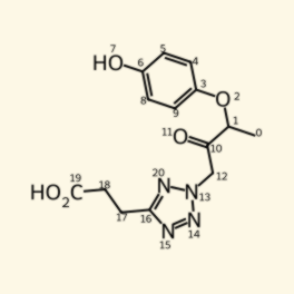 CC(Oc1ccc(O)cc1)C(=O)Cn1nnc(CCC(=O)O)n1